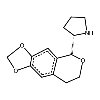 c1c2c(cc3c1OCO3)C([C@@H]1CCCN1)OCC2